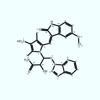 Cc1c(C(=O)O)c(C)n(C(On2nnc3cccnc32)C(O)C(N)=O)c1/C=C1\C(=O)Nc2ccc(OC(F)(F)F)cc21